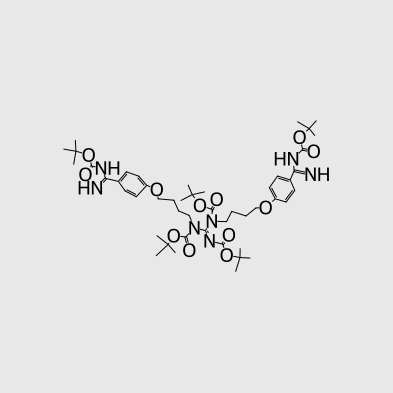 CC(C)(C)OC(=O)N=C(N(CCCCOc1ccc(C(=N)NC(=O)OC(C)(C)C)cc1)C(=O)OC(C)(C)C)N(CCCCOc1ccc(C(=N)NC(=O)OC(C)(C)C)cc1)C(=O)OC(C)(C)C